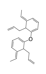 C=CCC1C(=CC)C=CC=C1OC1=CC=CC(=CC)C1CC=C